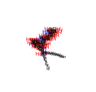 CCCCCCCCCCCCC/C=C/[C@@H](O)[C@H](CO[C@@H]1OC(CO)[C@@H](O[C@@H]2OC(CO)[C@H](O[C@@H]3OC(CO)[C@H](O)[C@H](O[C@@H]4OC(CO)[C@H](O)[C@H](O[C@@H]5OC(CO)[C@@H](O[C@@H]6OC(CO)[C@H](O)[C@H](O)C6O)[C@H](O)C5NC(C)=O)C4O)C3NC(C)=O)[C@H](O[C@]3(C(=O)O)CC(O)[C@@H](NC(C)=O)C([C@H](O)[C@H](O)CO)O3)C2O)[C@H](O)C1O)NC(=O)CCCCCCCCCCCCCCC